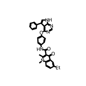 CCc1ccc2c(c1)c(=O)c(C(=O)Nc1ccc(Oc3ncnc4[nH]cc(-c5ccccc5)c34)cc1)c(C)n2C